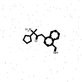 CC(N)(C(=O)Cc1ccc(C=N)c2ccccc12)C1CCCC1